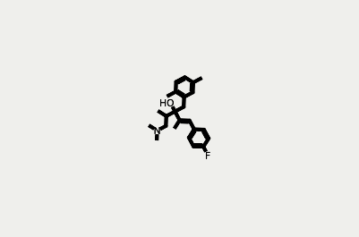 CC(=Cc1ccc(F)cc1)C(O)(Cc1cc(C)ccc1C)C(C)CN(C)C